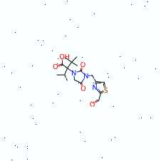 CC(C)C(C(=O)O)(N1CC(=O)N(Cc2csc(C=O)n2)C1=O)C(C)(C)C